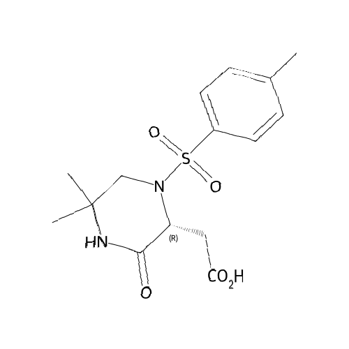 Cc1ccc(S(=O)(=O)N2CC(C)(C)NC(=O)[C@H]2CC(=O)O)cc1